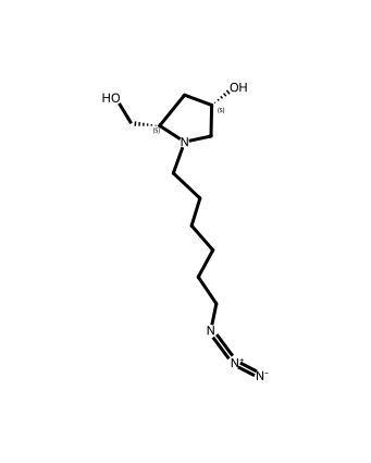 [N-]=[N+]=NCCCCCCN1C[C@@H](O)C[C@H]1CO